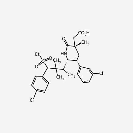 CCS(=O)(=O)[C@H](c1ccc(Cl)cc1)C(C)(C)C(C)[C@@H]1NC(=O)[C@](C)(CC(=O)O)C[C@@H]1c1cccc(Cl)c1